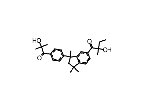 CCC(C)(O)C(=O)c1ccc2c(c1)C(C)(c1ccc(C(=O)C(C)(C)O)cc1)CC2(C)C